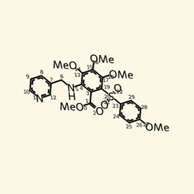 COC(=O)c1c(NCc2cccnc2)c(OC)c(OC)c(OC)c1S(=O)(=O)c1ccc(OC)cc1